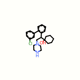 OC1(C(CN2CCNCC2)c2ccccc2-c2cccc(Cl)c2)CCCCC1